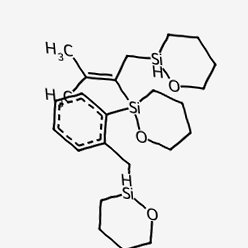 CC(C)=C(C[SiH]1CCCCO1)[Si]1(c2ccccc2C[SiH]2CCCCO2)CCCCO1